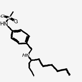 CCCCCCC(CC)NCc1ccc(NS(C)(=O)=O)cc1